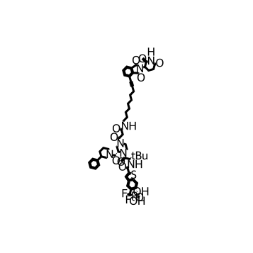 CC(C)(C)[C@H](NC(=O)c1cc2cc(C(F)(F)P(=O)(O)O)ccc2s1)C(=O)N1CCN(C(=O)CC(=O)NCCCCCCCCC#Cc2cccc3c2C(=O)N(C2CCC(=O)NC2=O)C3=O)C[C@H]1C(=O)N1CCCC(c2ccccc2)C1